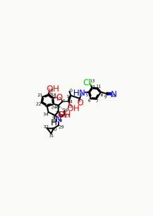 C/C(C(=O)Nc1ccc(C#N)cc1Cl)=C(/O)[C@@H]1Oc2c(O)ccc3c2[C@@]12CCN(CC1CC1)[C@H](C3)[C@@]2(C)O